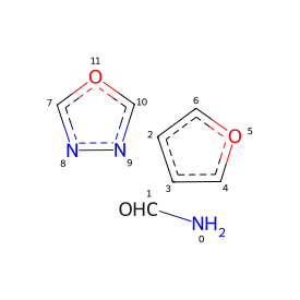 NC=O.c1ccoc1.c1nnco1